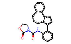 O=C(Nc1ccccc1-c1ccc2c3ccccc3cccc1-2)N1CCOC1=O